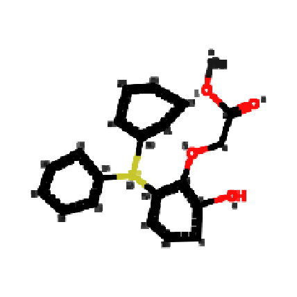 CC(C)(C)OC(=O)COc1c(O)cccc1[S+](c1ccccc1)c1ccccc1